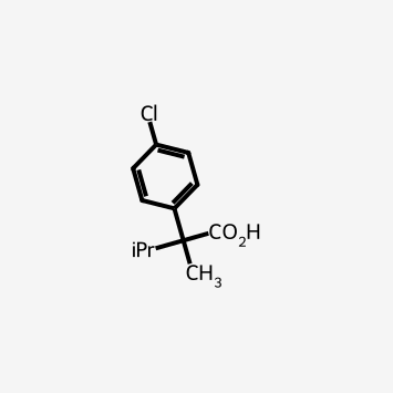 CC(C)C(C)(C(=O)O)c1ccc(Cl)cc1